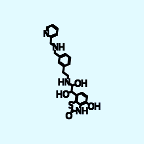 O=c1[nH]c2c(O)ccc(C(O)C(O)NCCc3cccc(CNCc4ccccn4)c3)c2s1